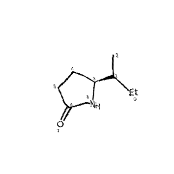 CCC(C)[C@@H]1CCC(=O)N1